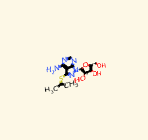 CC(C)Sc1nn([C@@H]2O[C@H](CO)C(O)[C@H]2O)c2ncnc(N)c12